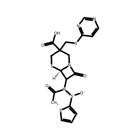 CC(=O)N(C1C(=O)N2CC(CSc3ccncn3)(C(=O)O)CS[C@H]12)[S+]([O-])c1cccs1